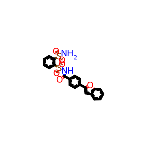 NS(=O)(=O)c1ccccc1S(=O)(=O)NC(=O)c1ccc(-c2cc3ccccc3o2)cc1